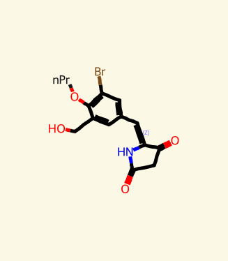 CCCOc1c(Br)cc(/C=C2\NC(=O)CC2=O)cc1CO